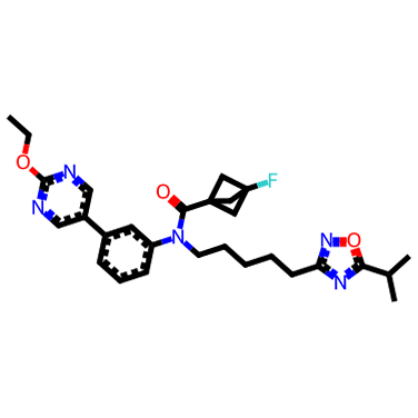 CCOc1ncc(-c2cccc(N(CCCCCc3noc(C(C)C)n3)C(=O)C34CC(F)(C3)C4)c2)cn1